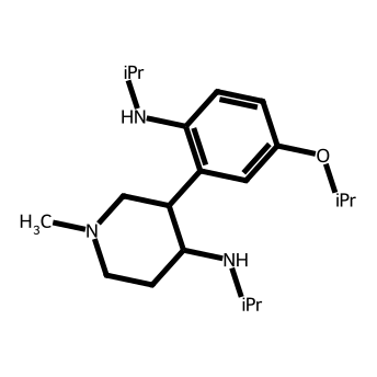 CC(C)Nc1ccc(OC(C)C)cc1C1CN(C)CCC1NC(C)C